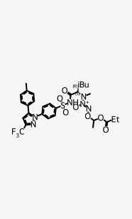 CCC(=O)OC(C)ON=[N+]([O-])N(C)[C@H](C(=O)NS(=O)(=O)c1ccc(-n2nc(C(F)(F)F)cc2-c2ccc(C)cc2)cc1)[C@H](C)CC